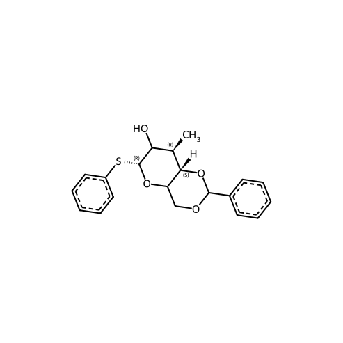 C[C@@H]1C(O)[C@@H](Sc2ccccc2)OC2COC(c3ccccc3)O[C@H]21